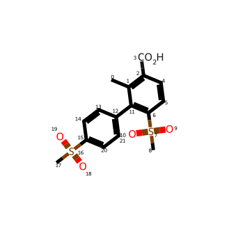 Cc1c(C(=O)O)ccc(S(C)(=O)=O)c1-c1ccc(S(C)(=O)=O)cc1